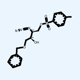 Cc1ccc(S(=O)(=O)OC[C@H](N=[N+]=[N-])[C@@H](O)COCc2ccccc2)cc1